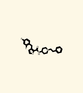 O=C(NC1CCN(CCc2ccccc2)CC1)c1occc1Cc1ccc(F)cc1F